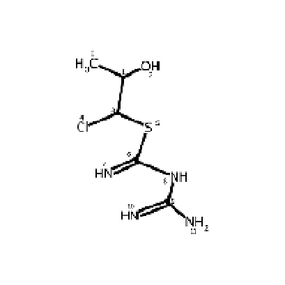 CC(O)C(Cl)SC(=N)NC(=N)N